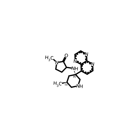 C[C@@H]1CNC[C@](NC2CCN(C)C2=O)(c2ccnc3nccnc23)C1